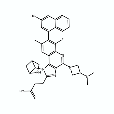 Cc1cc2c(nc(N3CC(N(C)C)C3)c3nc(CCC(=O)O)n(C4C5CNC4C5)c32)c(F)c1-c1cc(O)cc2ccccc12